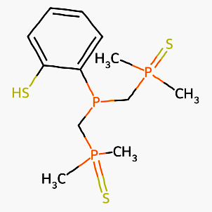 CP(C)(=S)CP(CP(C)(C)=S)c1ccccc1S